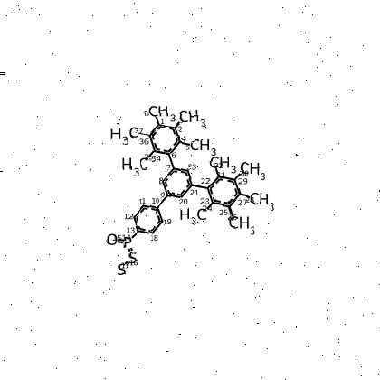 Cc1c(C)c(C)c(-c2cc(-c3ccc(P(=O)=S=S)cc3)cc(-c3c(C)c(C)c(C)c(C)c3C)c2)c(C)c1C